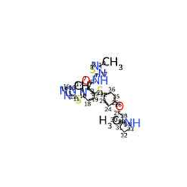 Cc1nsc(NC(=O)c2nc(Sc3nncn3C)ccc2Sc2ccc(OCC[C@@]3(C)CCCN3)cc2)n1